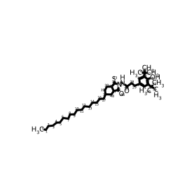 CCCCCCCCCCCCCCCCCCC1CCC2C(=S)N(NC(=O)CCc3cc(C(C)(C)C)c(O)c(C(C)(C)C)c3)C(=O)C2C1